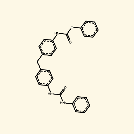 O=C(Nc1ccccc1)Nc1ccc(Cc2ccc(NC(=O)Oc3ccccc3)cc2)cc1